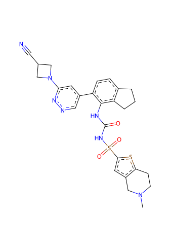 CN1CCc2sc(S(=O)(=O)NC(=O)Nc3c(-c4cnnc(N5CC(C#N)C5)c4)ccc4c3CCC4)cc2C1